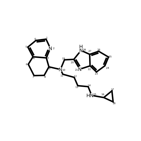 c1cnc2c(c1)CCCC2N(CCCCNC1CC1)Cc1nc2ccccc2[nH]1